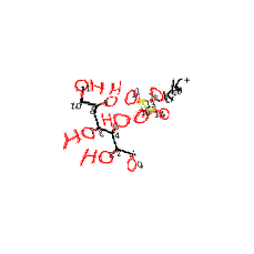 O=CC(O)C(O)C(O)C(O)CO.O=S(=O)([O-])[O-].[K+].[K+]